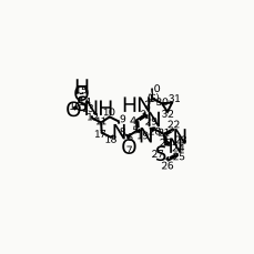 C[C@H](Nc1cc(C(=O)N2CCC(CN[SH](=O)=O)CC2)nc(-c2cnn3ccsc23)n1)C1CC1